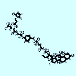 CCC(=O)O[C@]1(C(=O)COCNC(=O)CNC(=O)OCc2ccc(NC(=O)CNC(=O)[C@H](CCC(=O)O)NC(=O)CCN3C(=O)C=CC3=O)cc2)[C@@H](C)CC2[C@@H]3CCC4=CC(=O)C=C[C@]4(C)[C@@]3(Cl)[C@@H](O)C[C@@]21C